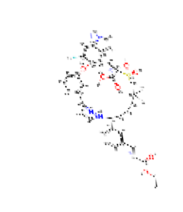 CCOC(=O)/C=C/c1cccc(C2CCCC(C)(C)CS(=O)(=O)/C(C(=O)OC)=C/c3c(c(F)cc4[nH]ccc34)Oc3cccc(c3)-c3ccn2n3)c1